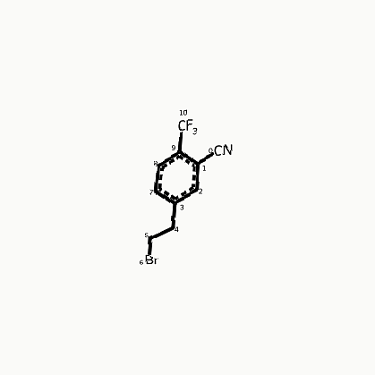 N#Cc1cc(CCBr)ccc1C(F)(F)F